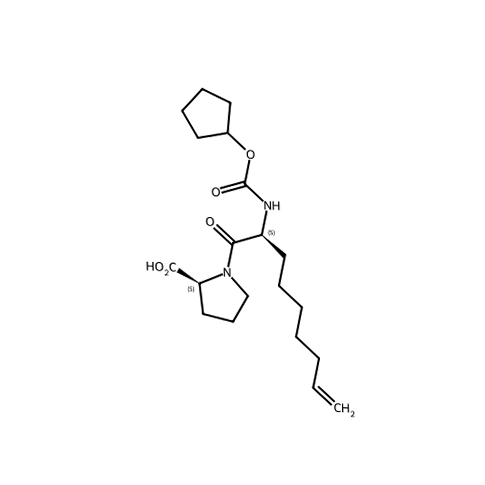 C=CCCCCC[C@H](NC(=O)OC1CCCC1)C(=O)N1CCC[C@H]1C(=O)O